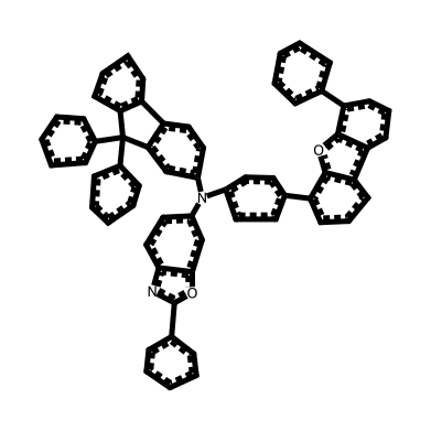 c1ccc(-c2nc3ccc(N(c4ccc(-c5cccc6c5oc5c(-c7ccccc7)cccc56)cc4)c4ccc5c(c4)C(c4ccccc4)(c4ccccc4)c4ccccc4-5)cc3o2)cc1